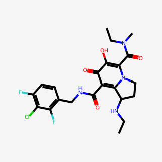 CCNC1CCn2c(C(=O)N(C)CC)c(O)c(=O)c(C(=O)NCc3ccc(F)c(Cl)c3F)c21